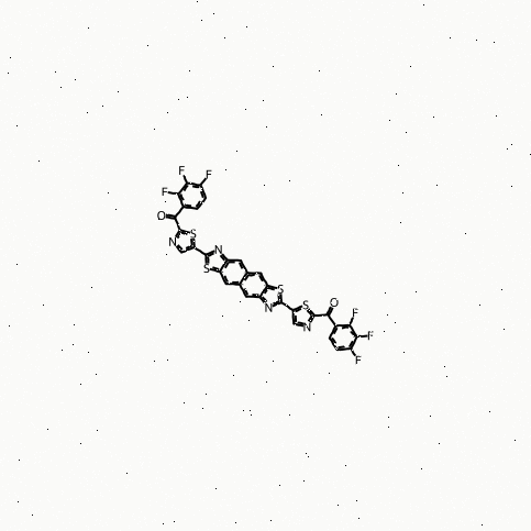 O=C(c1ncc(-c2nc3cc4cc5sc(-c6cnc(C(=O)c7ccc(F)c(F)c7F)s6)nc5cc4cc3s2)s1)c1ccc(F)c(F)c1F